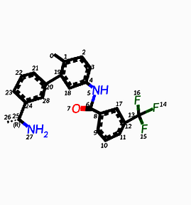 Cc1ccc(NC(=O)c2cccc(C(F)(F)F)c2)cc1-c1cccc([C@@H](C)N)c1